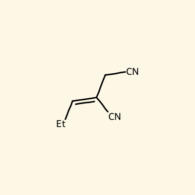 CC/C=C(\C#N)CC#N